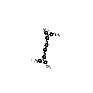 CSc1ccc(N(c2ccc(/C=C/c3ccc(-c4ccc(/C=C/c5ccc(N(c6ccc(SC)cc6)c6ccc(SC)cc6)cc5)cc4)cc3)cc2)c2ccc(SC)cc2)cc1